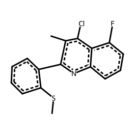 CSc1ccccc1-c1nc2cccc(F)c2c(Cl)c1C